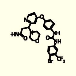 [NH]C(=O)CC(c1cc(Oc2ccc(NC(=O)Nc3ccc(Br)c(C(F)(F)F)c3)cc2)ccn1)N1CCOCC1